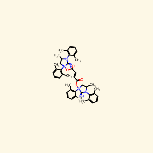 Cc1cccc(C)c1N1C(=N)[N+](OC(=O)/C=C/C(=O)O[N+]2(c3c(C)cccc3C)CC(C)N(c3c(C)cccc3C)C2=N)(c2c(C)cccc2C)CC1C